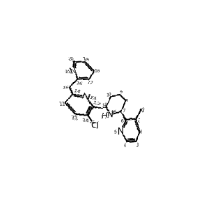 Cc1cccnc1[C@@H]1CCC[C@H](c2nc(Cc3ccccn3)ccc2Cl)N1